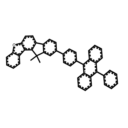 CC1(C)c2cc(-c3ccc(-c4c5ccccc5c(-c5ccccc5)c5ccccc45)cc3)ccc2-c2ccc3oc4ccccc4c3c21